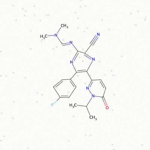 CC(C)n1nc(-c2nc(C#N)c(N=CN(C)C)nc2-c2ccc(F)cc2)ccc1=O